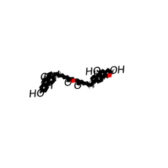 C[C@H](CCCCC(=O)CCCC(=O)CCCC[C@H](C)[C@H]1CCC2[C@@H]3[C@@H](O)CC4C[C@H](O)CC[C@]4(C)[C@H]3CC[C@@]21C)[C@H]1CCC2[C@@H]3[C@@H](O)CC4C[C@H](O)CC[C@]4(C)[C@H]3CC[C@@]21C